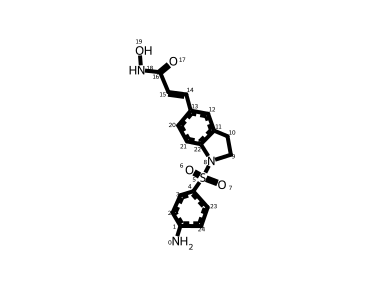 Nc1ccc(S(=O)(=O)N2CCc3cc(/C=C/C(=O)NO)ccc32)cc1